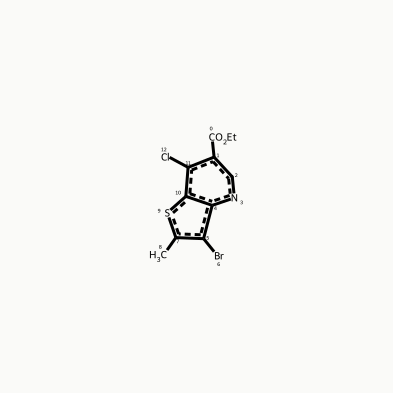 CCOC(=O)c1cnc2c(Br)c(C)sc2c1Cl